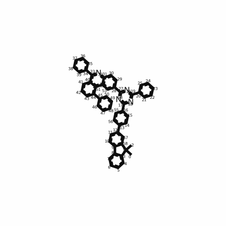 CC1(C)c2ccccc2-c2ccc(-c3ccc(-c4nc(-c5ccccc5)nc(-c5ccc6nc(-c7ccccc7)c7cccc(-c8ccccc8)c7c6c5)n4)cc3)cc21